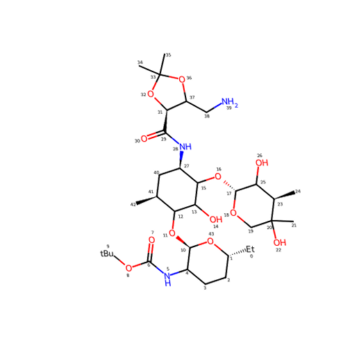 CC[C@@H]1CCC(NC(=O)OC(C)(C)C)[C@@H](OC2C(O)C(O[C@H]3OCC(C)(O)[C@H](C)C3O)[C@H](NC(=O)[C@H]3OC(C)(C)OC3CN)C[C@@H]2C)O1